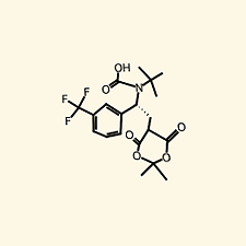 CC1(C)OC(=O)C(C[C@H](c2cccc(C(F)(F)F)c2)N(C(=O)O)C(C)(C)C)C(=O)O1